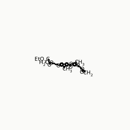 C=CC(=O)OCCCOc1ccc(OC(=O)c2ccc3c(c2)C(C)c2cc(OCCCCOC(=O)C(=C)CC(=O)OCC)ccc2-3)cc1C